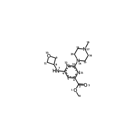 COC(=O)c1cc(NC2COC2)nc(N2CCN(C)CC2)n1